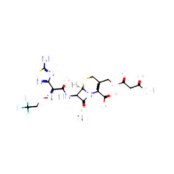 CC(=O)CC(=O)OCC1=C(C(=O)[O-])N2C(=O)C(NC(=O)C(=NOCC(F)(F)F)c3nsc(N)n3)[C@@H]2SC1.[Na+]